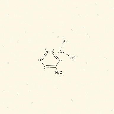 CCCOCCC.O.c1ccncc1